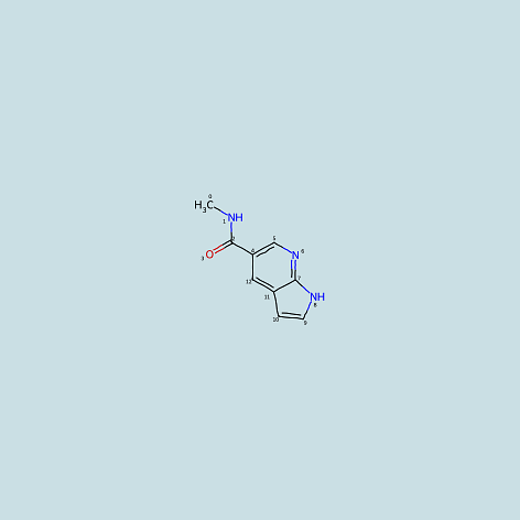 CNC(=O)c1cnc2[nH]ccc2c1